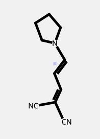 N#CC(C#N)=C/C=C/N1CCCC1